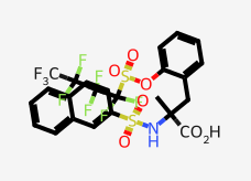 CC(Cc1ccccc1OS(=O)(=O)C(F)(F)C(F)(F)C(F)(F)C(F)(F)F)(NS(=O)(=O)c1ccc2ccccc2c1)C(=O)O